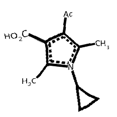 CC(=O)c1c(C(=O)O)c(C)n(C2CC2)c1C